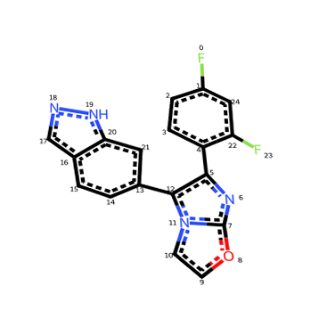 Fc1ccc(-c2nc3occn3c2-c2ccc3cn[nH]c3c2)c(F)c1